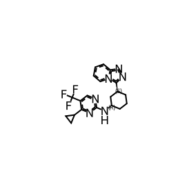 FC(F)(F)c1cnc(N[C@@H]2CCC[C@H](c3nnc4ccccn34)C2)nc1C1CC1